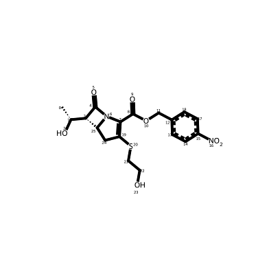 C[C@@H](O)[C@@H]1C(=O)N2C(C(=O)OCc3ccc([N+](=O)[O-])cc3)=C(SCCO)CC12